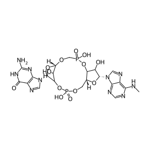 CNc1ncnc2c1ncn2[C@@H]1O[C@@H]2COP(=O)(O)OC3[C@@H](O)[C@@H](OCP(=O)(O)OC2C1O)O[C@H]3n1cnc2c(=O)[nH]c(N)nc21